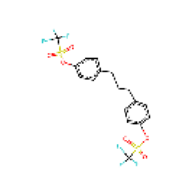 O=S(=O)(Oc1ccc(CCCc2ccc(OS(=O)(=O)C(F)(F)F)cc2)cc1)C(F)(F)F